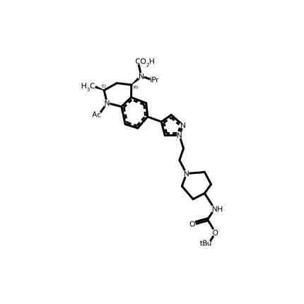 CC(=O)N1c2ccc(-c3cnn(CCN4CCC(NC(=O)OC(C)(C)C)CC4)c3)cc2[C@H](N(C(=O)O)C(C)C)C[C@@H]1C